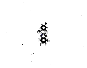 O=[N+]([O-])/C(=C\c1c(F)c(F)c(F)c(F)c1F)[S+]([O-])c1ccc(F)cc1